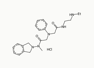 CCNCCNC(=O)CN(CC(=O)N(C)N1Cc2ccccc2C1)c1ccccc1.Cl